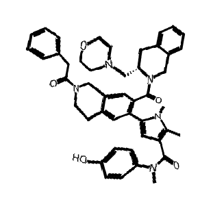 Cc1c(C(=O)N(C)c2ccc(O)cc2)cc(-c2cc3c(cc2C(=O)N2Cc4ccccc4C[C@H]2CN2CCOCC2)CN(C(=O)Cc2ccccc2)CC3)n1C